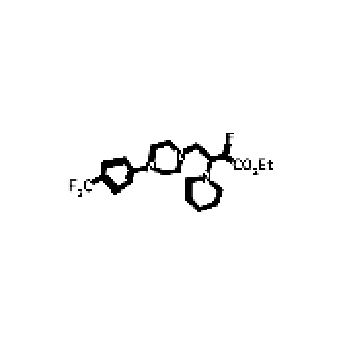 CCOC(=O)C(F)C(CN1CCN(c2ccc(C(F)(F)F)cc2)CC1)N1CCCCC1